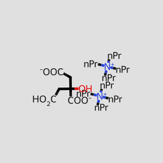 CCC[N+](CCC)(CCC)CCC.CCC[N+](CCC)(CCC)CCC.O=C([O-])CC(O)(CC(=O)O)C(=O)[O-]